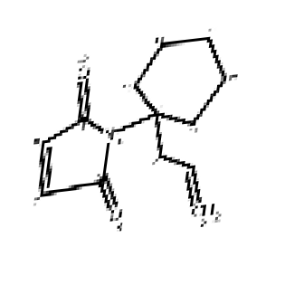 C=CCC1(N2C(=O)C=CC2=O)CCCCC1